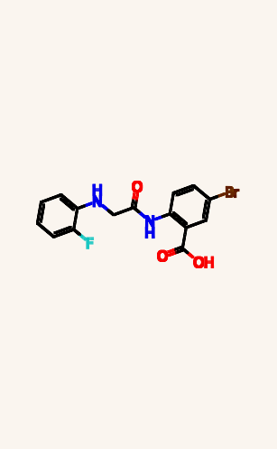 O=C(CNc1ccccc1F)Nc1ccc(Br)cc1C(=O)O